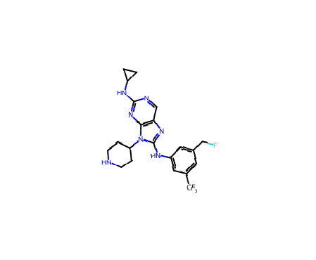 FCc1cc(Nc2nc3cnc(NC4CC4)nc3n2C2CCNCC2)cc(C(F)(F)F)c1